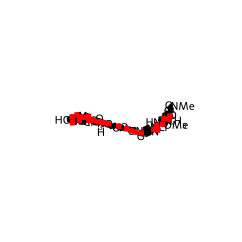 CNC(=O)COc1cc2cc(Nc3nc(N4CCC(C(=O)NCCOCCOCCOCCOCCNC(=O)CO/N=C5\CCC6C7CCc8cc(O)ccc8C7CCC56C)CC4)ncc3Cl)cc(OC)c2n(C)c1=O